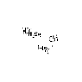 Br.Br.Cl.[SeH2]